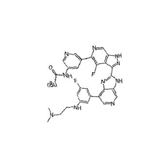 CCCCC(=O)Nc1cncc(-c2ncc3[nH]nc(-c4nc5c(-c6cc(F)cc(NCCN(C)C)c6)cncc5[nH]4)c3c2F)c1